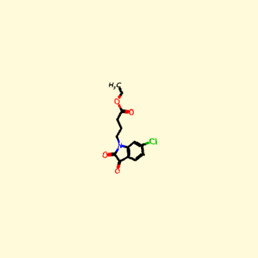 CCOC(=O)CCCN1C(=O)C(=O)c2ccc(Cl)cc21